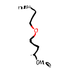 CCCCCCOCC[CH]OC